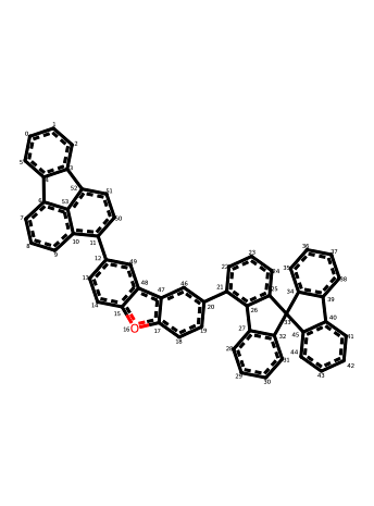 c1ccc2c(c1)-c1cccc3c(-c4ccc5oc6ccc(-c7cccc8c7-c7ccccc7C87c8ccccc8-c8ccccc87)cc6c5c4)ccc-2c13